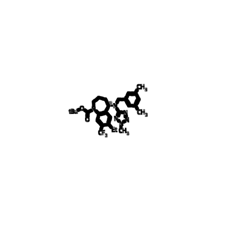 CCc1cc2c(cc1C(F)(F)F)N(C(=O)OC(C)(C)C)CCC[C@@H]2N(Cc1cc(C)cc(C)c1)c1nnn(C)n1